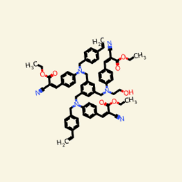 C=Cc1ccc(CN(Cc2cc(CN(CCO)c3ccc(/C=C(/C#N)C(=O)OCC)cc3)cc(CN(Cc3ccc(C=C)cc3)c3ccc(/C=C(/C#N)C(=O)OCC)cc3)c2)c2ccc(/C=C(/C#N)C(=O)OCC)cc2)cc1